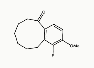 COc1ccc2c(c1F)CCCCCCC2=O